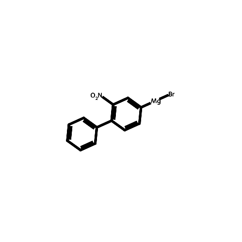 O=[N+]([O-])c1c[c]([Mg][Br])ccc1-c1ccccc1